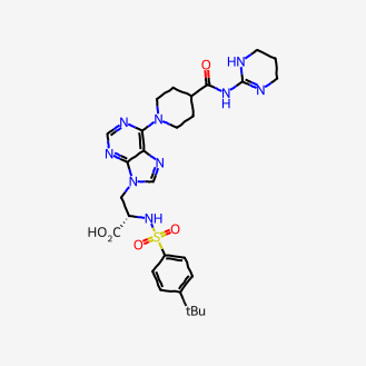 CC(C)(C)c1ccc(S(=O)(=O)N[C@@H](Cn2cnc3c(N4CCC(C(=O)NC5=NCCCN5)CC4)ncnc32)C(=O)O)cc1